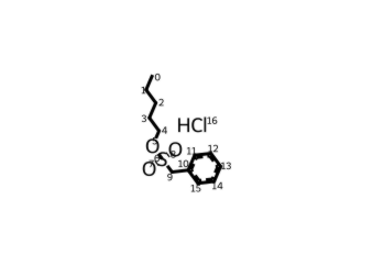 CCCCCOS(=O)(=O)Cc1ccccc1.Cl